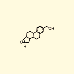 C[C@]12CCC3c4ccc(CO)cc4CCC3C1C[C@H]1OC12